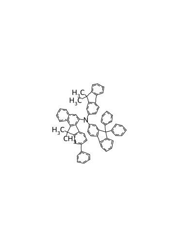 CC1(C)c2ccccc2-c2ccc(N(c3ccc4c(c3)C(c3ccccc3)(c3ccccc3)c3ccccc3-4)c3cc4ccccc4c4c3-c3ccc(-c5ccccc5)cc3C4(C)C)cc21